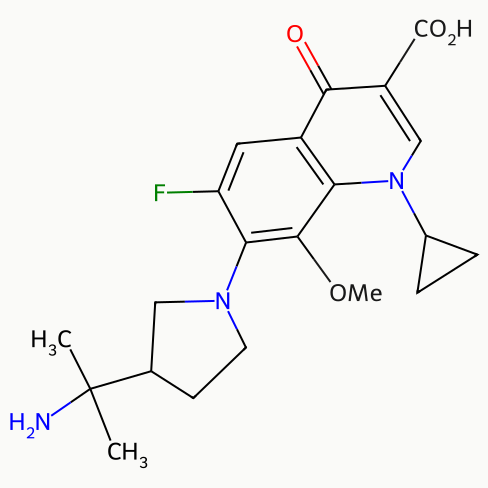 COc1c(N2CCC(C(C)(C)N)C2)c(F)cc2c(=O)c(C(=O)O)cn(C3CC3)c12